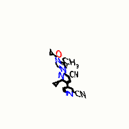 C[C@@H]1CN(c2nc(C3CC3)c(-c3ccnc(C#N)c3)cc2C#N)CCN1C(=O)C1CC1